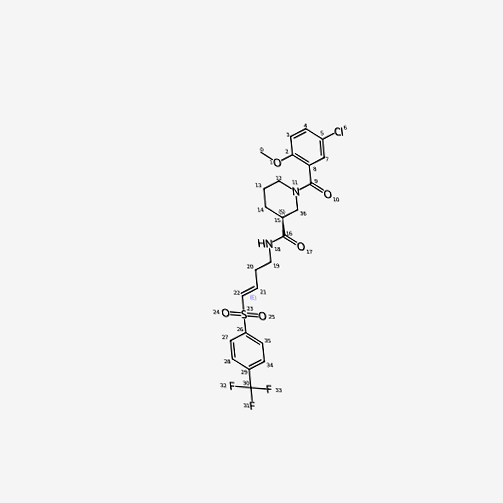 COc1ccc(Cl)cc1C(=O)N1CCC[C@H](C(=O)NCC/C=C/S(=O)(=O)c2ccc(C(F)(F)F)cc2)C1